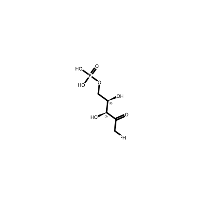 [2H]CC(=O)[C@@H](O)[C@H](O)COP(=O)(O)O